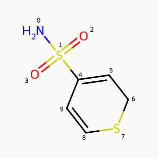 NS(=O)(=O)C1=CCSC=C1